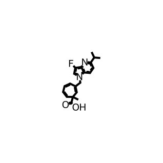 CC(C)c1ccc2c(n1)c(F)cn2CC1=CC(C)(C(=O)O)C=CC=C1